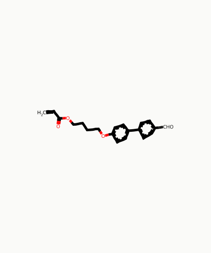 C=CC(=O)OCCCCOc1ccc(-c2ccc(C=O)cc2)cc1